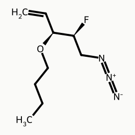 C=C[C@H](OCCCC)[C@@H](F)CN=[N+]=[N-]